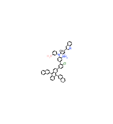 Bc1cccc(N(C(=C)/C=C\Cc2cnc3ccccc3c2)c2ccc(-c3cc(-c4ccc5c(-c6ccc7ccccc7c6)c6ccccc6c(-c6ccc7c(c6)CCC=C7)c5c4)ccc3Cl)cc2N)c1